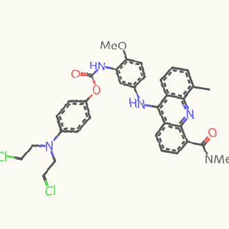 CNC(=O)c1cccc2c(Nc3ccc(OC)c(NC(=O)Oc4ccc(N(CCCl)CCCl)cc4)c3)c3cccc(C)c3nc12